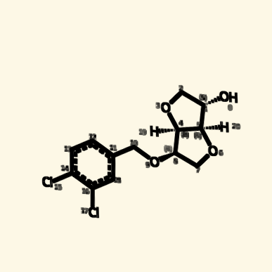 O[C@H]1CO[C@H]2[C@@H]1OC[C@H]2OCc1ccc(Cl)c(Cl)c1